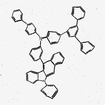 c1ccc(-c2ccc(N(c3ccc(-c4cc(-c5ccccc5)cc(-c5ccccc5)c4)cc3)c3cccc(-c4c5ccccc5cc5c4c4ccccc4n5-c4ccccc4)c3)cc2)cc1